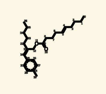 CCCCC=CCCCC(=O)OCC(=Cc1ccc(C)cc1)CCCCC